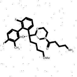 COCCCC[C@@](O)(c1cccc(F)c1-c1ccc(F)c(C)c1)[C@H]1CN(C(=O)CCCN)CCO1